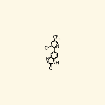 O=c1cnc2cc(-c3ncc(C(F)(F)F)cc3Cl)ccc2[nH]1